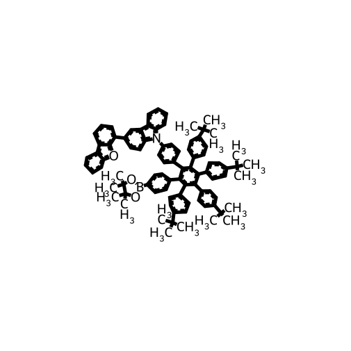 CC(C)(C)c1ccc(-c2c(-c3ccc(B4OC(C)(C)C(C)(C)O4)cc3)c(-c3ccc(-n4c5ccccc5c5cc(-c6cccc7c6oc6ccccc67)ccc54)cc3)c(-c3ccc(C(C)(C)C)cc3)c(-c3ccc(C(C)(C)C)cc3)c2-c2ccc(C(C)(C)C)cc2)cc1